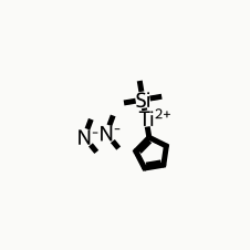 C[N-]C.C[N-]C.C[Si](C)(C)[Ti+2][C]1=CC=CC1